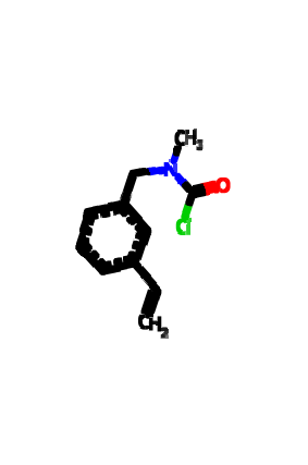 C=Cc1cccc(CN(C)C(=O)Cl)c1